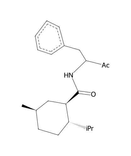 CC(=O)C(Cc1ccccc1)NC(=O)[C@@H]1C[C@H](C)CC[C@H]1C(C)C